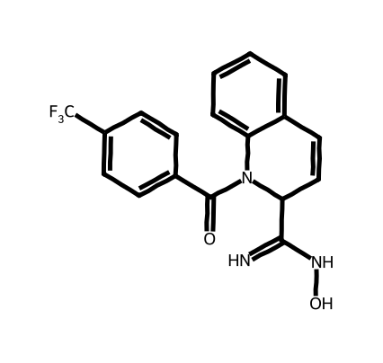 N=C(NO)C1C=Cc2ccccc2N1C(=O)c1ccc(C(F)(F)F)cc1